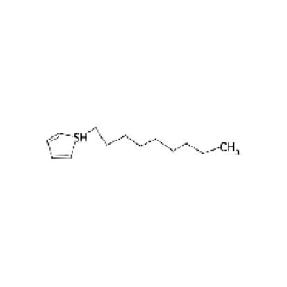 CCCCCCCCC[SH]1C=CC=C1